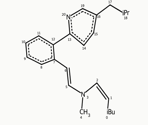 CCC(C)/C=C\N(C)C=Cc1ccccc1-c1ccc(CC(C)C)cn1